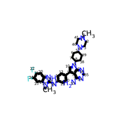 CN1CCN([C@H]2CC[C@H](n3cc(-c4ccc(Nc5nc6cc(F)c(F)cc6n5C)cc4)c4c(N)ncnc43)CC2)CC1